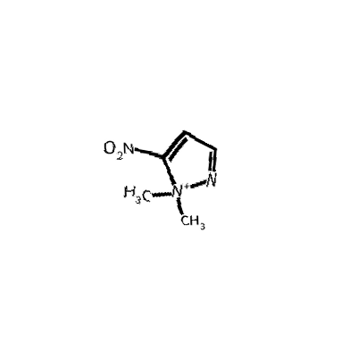 C[N+]1(C)N=CC=C1[N+](=O)[O-]